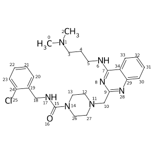 CN(C)CCCNc1nc(CN2CCN(C(=O)NCc3ccccc3Cl)CC2)nc2ccccc12